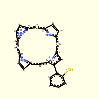 Sc1ccccc1-c1cc2cc3nc(cc4ccc(cc5nc(cc1[nH]2)C=C5)[nH]4)C=C3